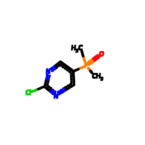 CP(C)(=O)c1cnc(Cl)nc1